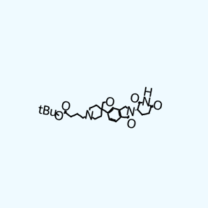 CC(C)(C)OC(=O)CCCN1CCC2(CC1)COc1c2ccc2c1CN([C@H]1CCC(=O)NC1=O)C2=O